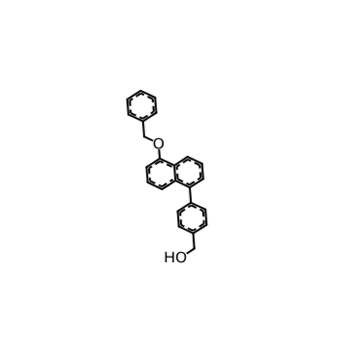 OCc1ccc(-c2cccc3c(OCc4ccccc4)cccc23)cc1